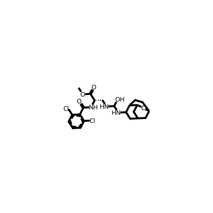 COC(=O)[C@H](CNC(O)NC1CC2CC3CCC1C(C3)C2)NC(=O)c1c(Cl)cccc1Cl